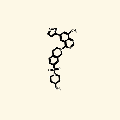 Cc1cc(-c2ccn[nH]2)cc2c(N3CCc4ccc(S(=O)(=O)N5CCC(N)CC5)cc4C3)ncnc12